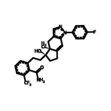 C[C@]12Cc3cnn(-c4ccc(F)cc4)c3C=C1CC[C@@]2(O)CCc1cccc(C(F)(F)F)c1C(N)=O